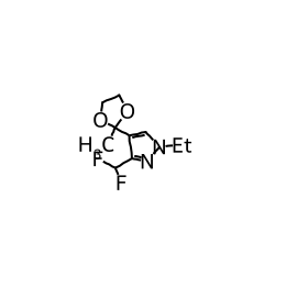 CCn1cc(C2(C)OCCO2)c(C(F)F)n1